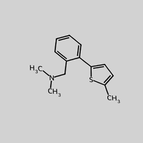 Cc1ccc(-c2ccccc2CN(C)C)s1